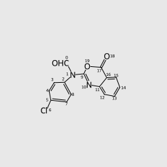 O=CN(c1ccc(Cl)cc1)c1nc2ccccc2c(=O)o1